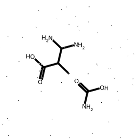 CC(C(=O)O)C(N)N.NC(=O)O